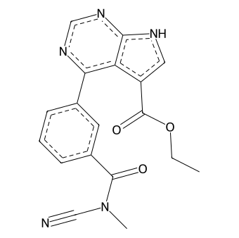 CCOC(=O)c1c[nH]c2ncnc(-c3cccc(C(=O)N(C)C#N)c3)c12